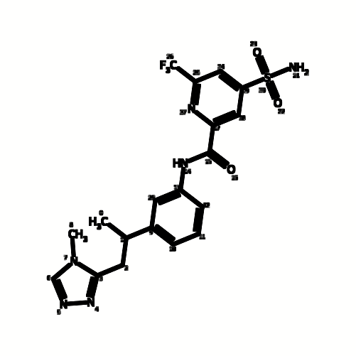 CC(Cc1nncn1C)c1cccc(NC(=O)c2cc(S(N)(=O)=O)cc(C(F)(F)F)n2)c1